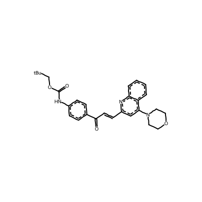 CC(C)(C)COC(=O)Nc1ccc(C(=O)/C=C/c2cc(N3CCOCC3)c3ccccc3n2)cc1